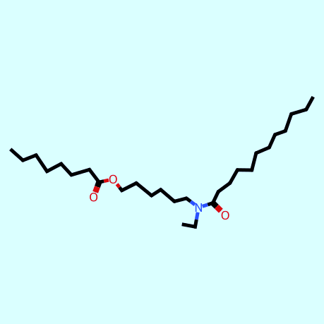 CCCCCCCCCCCC(=O)N(CC)CCCCCCOC(=O)CCCCCCC